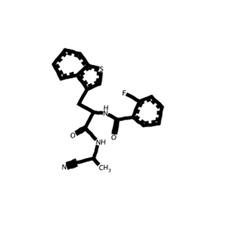 CC(C#N)NC(=O)C(Cc1csc2ccccc12)NC(=O)c1ccccc1F